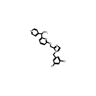 NC(c1ccncc1)c1cccc(OCc2nccn2Cc2cc(Cl)cc(Cl)c2)n1